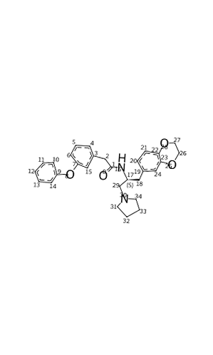 O=C(Cc1cccc(Oc2ccccc2)c1)N[C@@H](Cc1ccc2c(c1)OCCO2)CN1CCCC1